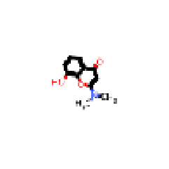 CN(C)c1cc(=O)c2cccc(O)c2o1